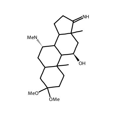 CN[C@H]1CC2CC(OC)(OC)CCC2(C)C2C1C1CCC(=N)C1(C)C[C@H]2O